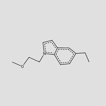 CCc1ccc2c(ccn2CCOC)c1